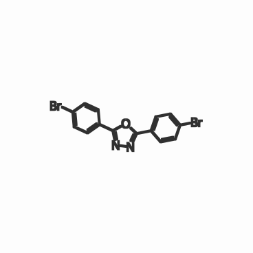 Brc1ccc(-c2nnc(-c3ccc(Br)cc3)o2)cc1